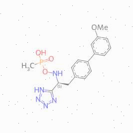 COc1cccc(-c2ccc(C[C@H](NOP(C)(=O)O)c3nnn[nH]3)cc2)c1